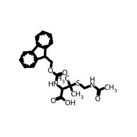 CC(=O)NCSC(C)(C)C(NC(=O)OCC1c2ccccc2-c2ccccc21)C(=O)O